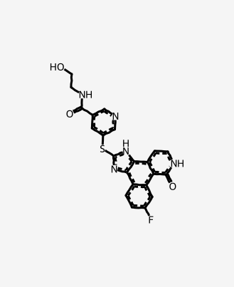 O=C(NCCO)c1cncc(Sc2nc3c4ccc(F)cc4c4c(=O)[nH]ccc4c3[nH]2)c1